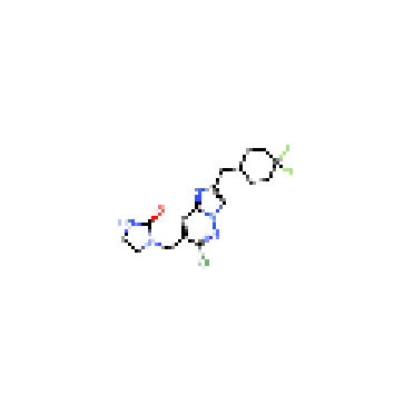 O=C1NCCN1Cc1cc2nc(CC3CCC(F)(F)CC3)cn2nc1Cl